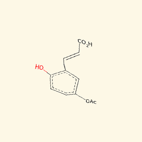 CC(=O)Oc1ccc(O)c(C=CC(=O)O)c1